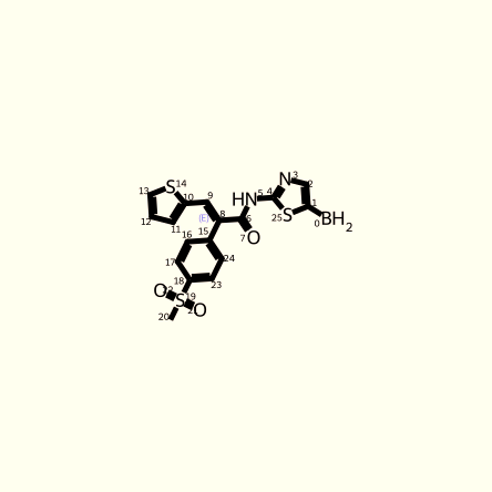 Bc1cnc(NC(=O)/C(=C/c2cccs2)c2ccc(S(C)(=O)=O)cc2)s1